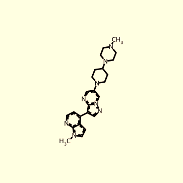 CN1CCN(C2CCN(c3cnc4c(-c5ccnc6c5ccn6C)cnn4c3)CC2)CC1